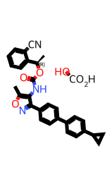 Cc1onc(-c2ccc(-c3ccc(C4CC4)cc3)cc2)c1NC(=O)O[C@H](C)c1ccccc1C#N.O=C(O)O